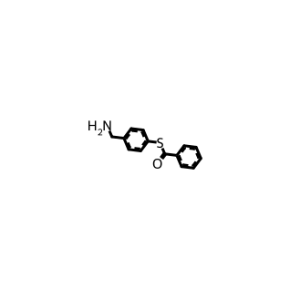 NCc1ccc(SC(=O)c2ccccc2)cc1